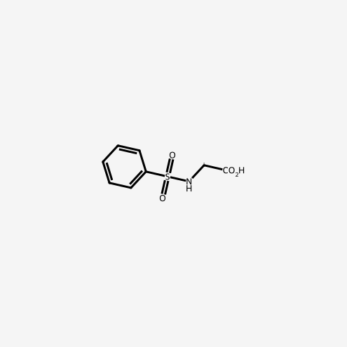 O=C(O)[CH]NS(=O)(=O)c1ccccc1